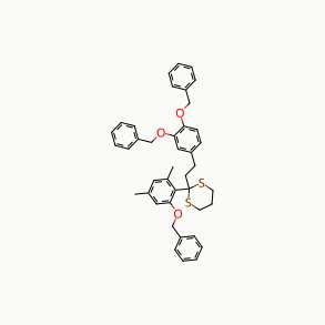 Cc1cc(C)c(C2(CCc3ccc(OCc4ccccc4)c(OCc4ccccc4)c3)SCCCS2)c(OCc2ccccc2)c1